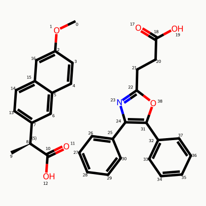 COc1ccc2cc([C@H](C)C(=O)O)ccc2c1.O=C(O)CCc1nc(-c2ccccc2)c(-c2ccccc2)o1